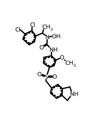 COc1cc(S(=O)(=O)Cc2ccc3c(c2)CNC3)ccc1NC(=O)N(O)C(C)c1cccc(Cl)c1Cl